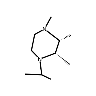 CC(C)N1CCN(C)[C@H](C)[C@@H]1C